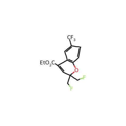 CCOC(=O)C1=CC(CF)(CF)Oc2ccc(C(F)(F)F)cc21